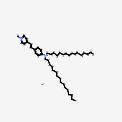 CCCCCCCCCCCCCCCCN(CCCCCCCCCCCCCCCC)c1ccc(/C=C/c2cc[n+](C)cc2)cc1.[I-]